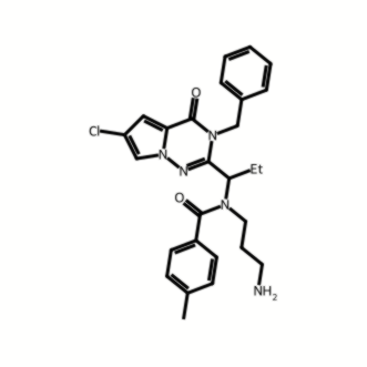 CCC(c1nn2cc(Cl)cc2c(=O)n1Cc1ccccc1)N(CCCN)C(=O)c1ccc(C)cc1